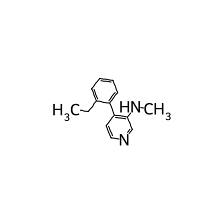 CCc1ccccc1-c1ccncc1NC